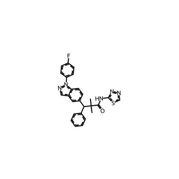 CC(C)(C(=O)Nc1nncs1)C(c1ccccc1)c1ccc2c(cnn2-c2ccc(F)cc2)c1